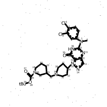 CN(c1ccc(Cl)c(Cl)c1)c1nc2cnn(C3CCN(CC4CCCN(C(=O)OC(C)(C)C)C4)CC3)c2c(=O)[nH]1